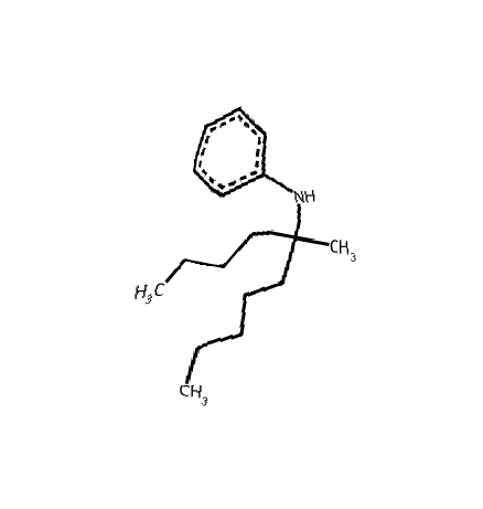 CCCCCC(C)(CCCC)Nc1ccccc1